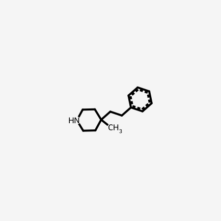 CC1(CCc2ccccc2)CCNCC1